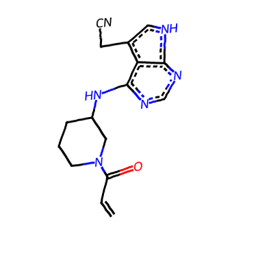 C=CC(=O)N1CCCC(Nc2ncnc3[nH]cc(CC#N)c23)C1